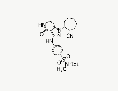 CN(C(C)(C)C)S(=O)(=O)c1ccc(Nc2nn(C3CCCCCC3C#N)c3cc[nH]c(=O)c23)cc1